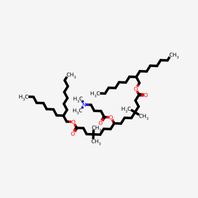 CCCCCCCC(CCCCCCC)COC(=O)CCC(C)(C)CCCC(CCCC(C)(C)CCC(=O)OCC(CCCCCCC)CCCCCCC)OC(=O)CCCN(C)C